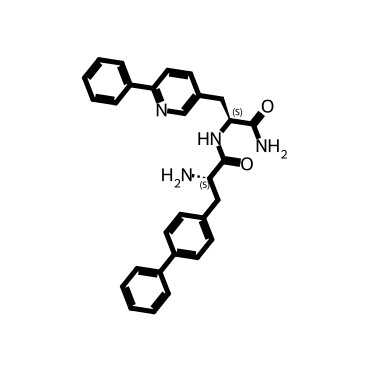 NC(=O)[C@H](Cc1ccc(-c2ccccc2)nc1)NC(=O)[C@@H](N)Cc1ccc(-c2ccccc2)cc1